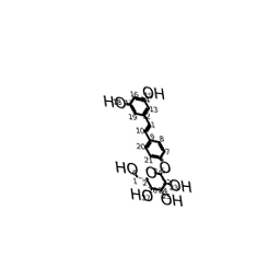 OC[C@@H]1O[C@H](Oc2ccc(C=Cc3cc(O)cc(O)c3)cc2)[C@@H](O)[C@H](O)[C@H]1O